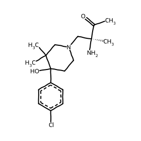 CC(=O)[C@@](C)(N)CN1CCC(O)(c2ccc(Cl)cc2)C(C)(C)C1